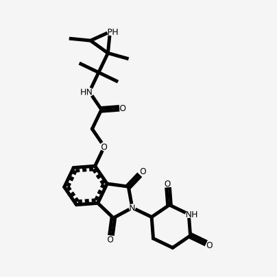 CC1PC1(C)C(C)(C)NC(=O)COc1cccc2c1C(=O)N(C1CCC(=O)NC1=O)C2=O